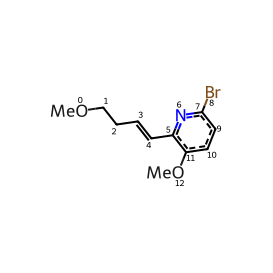 COCCC=Cc1nc(Br)ccc1OC